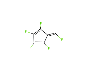 FC=C1C(F)=C(F)C(F)=C1F